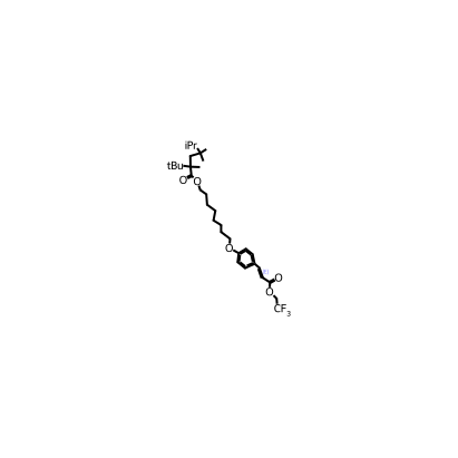 CC(C)C(C)(C)CC(C)(C(=O)OCCCCCCCCOc1ccc(/C=C/C(=O)OCC(F)(F)F)cc1)C(C)(C)C